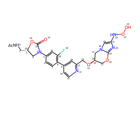 CC(=O)NC[C@H]1CN(c2ccc(-c3ccnc(CO[C@@H]4COc5nc(NOO)cn5C4)c3)c(F)c2)C(=O)O1